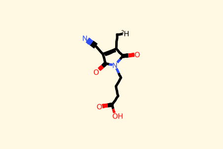 [2H]CC1=C(C#N)C(=O)N(CCCC(=O)O)C1=O